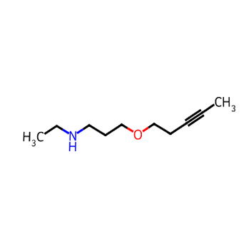 CC#CCCOCCCNCC